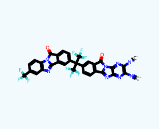 [C-]#[N+]c1nc2nc3n(c2nc1[N+]#[C-])C(=O)c1cc(C(c2ccc4c(c2)-c2nc5cc(C(F)(F)F)ccc5n2C4=O)(C(F)(F)F)C(F)(F)F)ccc1-3